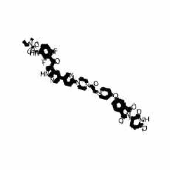 CCN(C)S(=O)(=O)Nc1ccc(F)c(C(=O)c2c[nH]c3ncc(-c4ccc(N5CCN(C(=O)CN6CCC(Oc7ccc8c(c7)C(=O)N(C7CCC(=O)NC7=O)C8=O)CC6)CC5)nc4)cc23)c1F